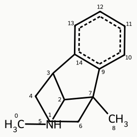 CNC1C2CCCC1(C)c1ccccc12